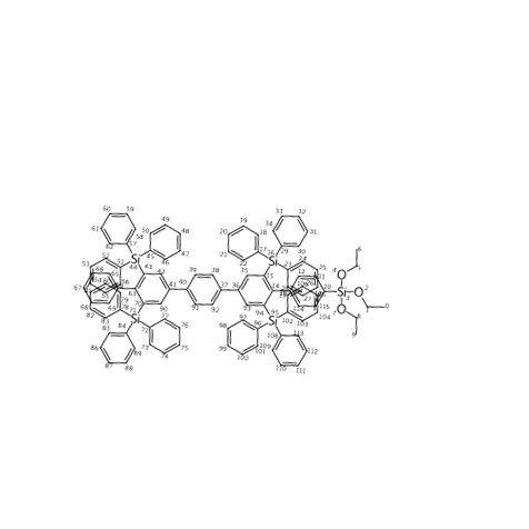 CCO[Si](OCC)(OCC)c1ccc(-c2c([Si](c3ccccc3)(c3ccccc3)c3ccccc3)cc(-c3ccc(-c4cc([Si](c5ccccc5)(c5ccccc5)c5ccccc5)c(-c5ccccc5)c([Si](c5ccccc5)(c5ccccc5)c5ccccc5)c4)cc3)cc2[Si](c2ccccc2)(c2ccccc2)c2ccccc2)cc1